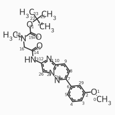 COc1cccc(-c2ccc3nc(NC(=O)CN(C)C(=O)OC(C)(C)C)cn3n2)c1